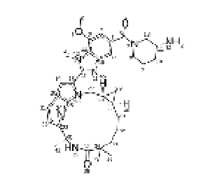 COc1cc(C(=O)N2CCC[C@@H](N)C2)cc2nc(-c3cc4ccc5nc4n3C[C@@H]3C[C@H]3CCCC(C)(C)C(=O)N[C@@H]5C)n(C)c12